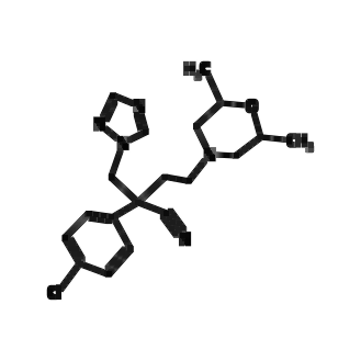 CC1CN(CCC(C#N)(Cn2cncn2)c2ccc(Cl)cc2)CC(C)O1